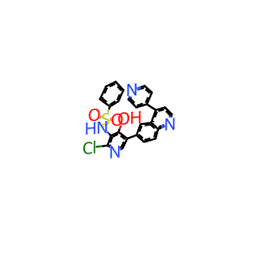 O=S(=O)(Nc1c(Cl)ncc(-c2ccc3nccc(-c4ccncc4)c3c2)c1O)c1ccccc1